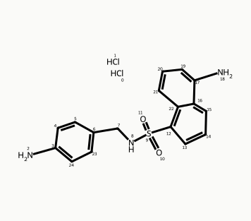 Cl.Cl.Nc1ccc(CNS(=O)(=O)c2cccc3c(N)cccc23)cc1